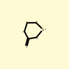 C=C1CCCSC1